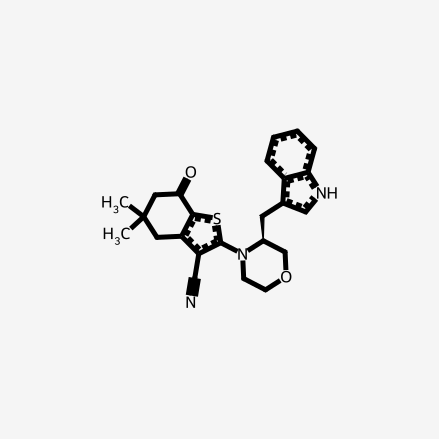 CC1(C)CC(=O)c2sc(N3CCOC[C@@H]3Cc3c[nH]c4ccccc34)c(C#N)c2C1